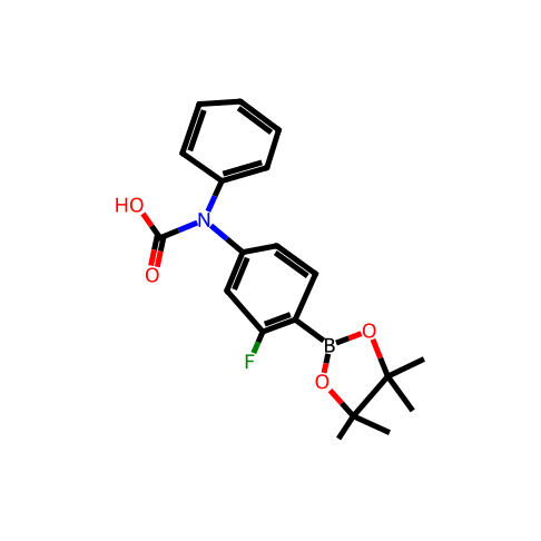 CC1(C)OB(c2ccc(N(C(=O)O)c3ccccc3)cc2F)OC1(C)C